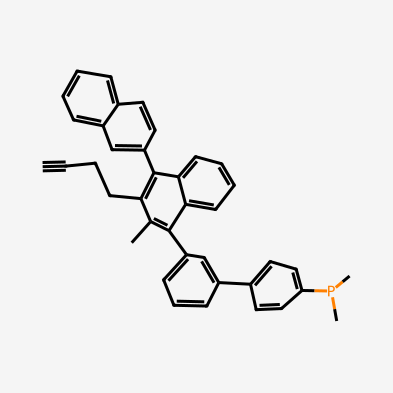 C#CCCc1c(C)c(-c2cccc(-c3ccc(P(C)C)cc3)c2)c2ccccc2c1-c1ccc2ccccc2c1